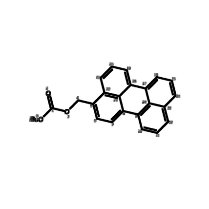 CC(C)COC(=O)OCc1ccc2c3cccc4cccc(c5cccc1c52)c43